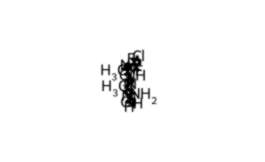 Cc1ncc(-c2c(C(F)F)ccc(Cl)c2F)nc1C(=O)Nc1cnn([C@@H](C)c2cnc(N3C[C@H]4C[C@H]4C3=O)c(N)c2)c1